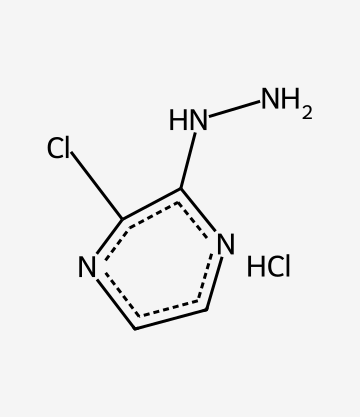 Cl.NNc1nccnc1Cl